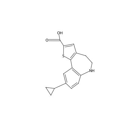 O=C(O)c1cc2c(s1)-c1cc(C3CC3)ccc1NCC2